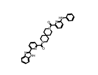 O=C(c1cccc(Nc2ccccc2)n1)N1CCC2(CC1)CCN(C(=O)c1cccc(-c3nc4ccccc4[nH]3)n1)CC2